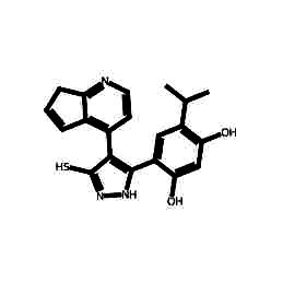 CC(C)c1cc(-c2[nH]nc(S)c2-c2ccnc3c2C=CC3)c(O)cc1O